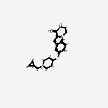 O=C1NCCn2c1cc1cc(OC3CCN(CC4CC4)CC3)ccc12